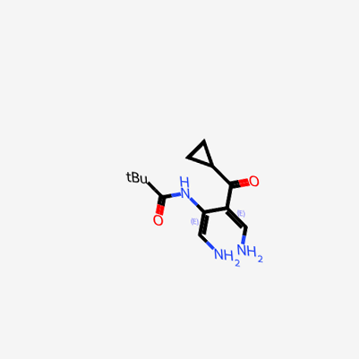 CC(C)(C)C(=O)NC(=C/N)/C(=C\N)C(=O)C1CC1